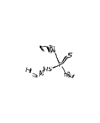 CCCCP(=S)(S)CCCC.[AlH3]